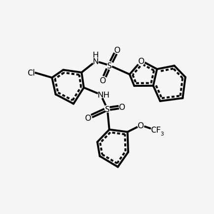 O=S(=O)(Nc1cc(Cl)ccc1NS(=O)(=O)c1ccccc1OC(F)(F)F)c1cc2ccccc2o1